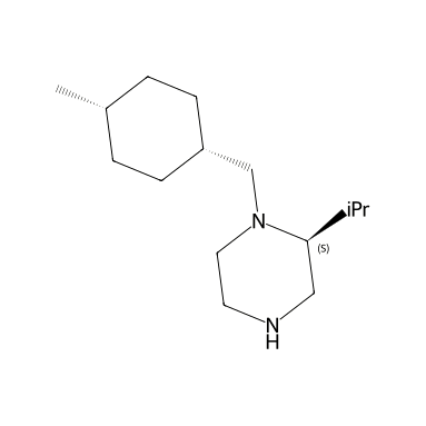 CC(C)[C@H]1CNCCN1C[C@H]1CC[C@@H](C)CC1